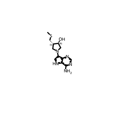 CSC[C@H]1CN(c2c[nH]c3c(N)ncnc23)C[C@@H]1O